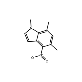 Cc1cc(C)c2c(ccn2C)c1[N+](=O)[O-]